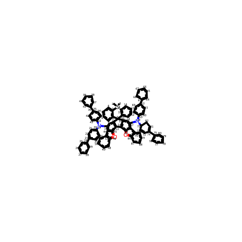 C[Si]1(C)c2ccccc2C2(c3ccccc31)c1cc(N(c3ccc(-c4ccccc4)cc3)c3ccc(-c4ccccc4)cc3)c3c(oc4ccccc43)c1-c1c2cc(N(c2ccc(-c3ccccc3)cc2)C2C=CC(c3ccccc3)=CC2)c2c1oc1ccccc12